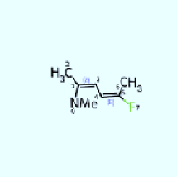 CN/C(C)=C\C=C(/C)F